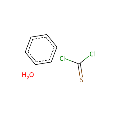 O.S=C(Cl)Cl.c1ccccc1